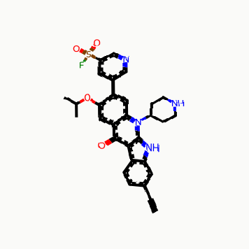 C#Cc1ccc2c(c1)[nH]c1c2c(=O)c2cc(OC(C)C)c(-c3cncc(S(=O)(=O)F)c3)cc2n1C1CCNCC1